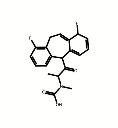 CC(C(=O)C1C2=CC=CC(F)C2=CCc2c(F)cccc21)N(C)C(=O)O